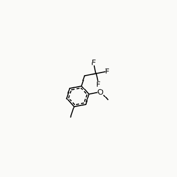 COc1cc(C)ccc1CC(F)(F)F